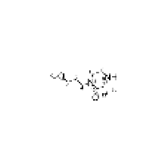 COCCCN1CCNC(C)(C)C1=O